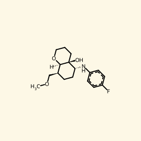 COC[C@@H]1CC[C@@H](Nc2ccc(F)cc2)[C@@]2(O)CCCO[C@H]12